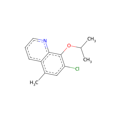 Cc1cc(Cl)c(OC(C)C)c2ncccc12